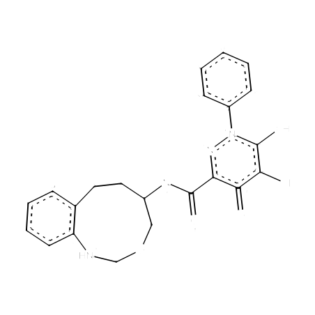 Cc1c(Cl)c(=O)c(C(=O)NC2CCc3ccccc3NCOC2)nn1-c1ccccc1